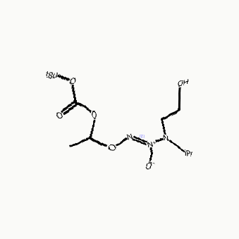 CC(O/N=[N+](\[O-])N(CCO)C(C)C)OC(=O)OC(C)(C)C